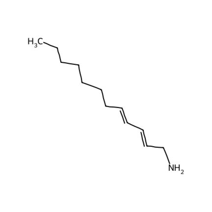 CCCCCCCC=CC=CCN